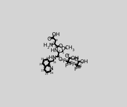 COC[C@H](NC(=O)[C@@H](N)CC(=O)O)C(=O)NCc1cccc2cccnc12.O=C(O)C(F)(F)F.O=C(O)C(F)(F)F